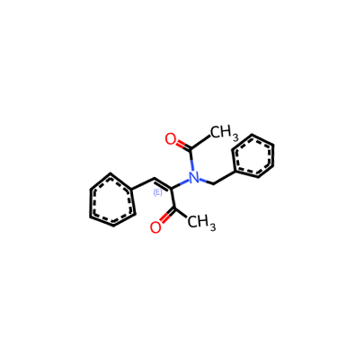 CC(=O)/C(=C\c1ccccc1)N(Cc1ccccc1)C(C)=O